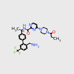 CCC(=O)N1CCN(c2ccnc(C(=O)N[C@H](C)c3ccc(-c4cc(C(F)(F)F)ccc4CN)cc3)n2)CC1